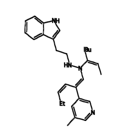 C/C=C(/C(C)CC)N(/C=C(\C=C/CC)c1cncc(C)c1)NCCc1c[nH]c2ccccc12